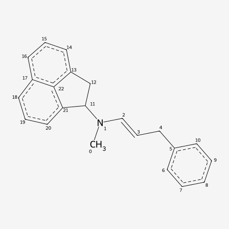 CN(C=CCc1ccccc1)C1Cc2cccc3cccc1c23